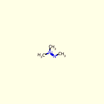 CN=[N+](C)C